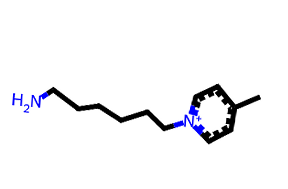 Cc1cc[n+](CCCCCCN)cc1